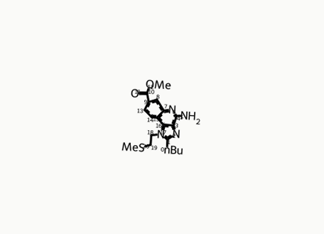 CCCCc1nc2c(N)nc3cc(C(=O)OC)ccc3c2n1CCSC